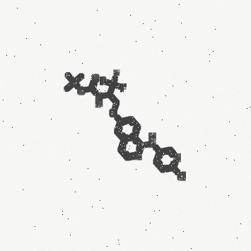 CC(C)(C)OC(=O)NC(COc1ccc2c(Nc3ccc(Cl)nc3)nccc2c1)C(F)(F)F